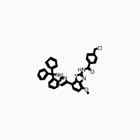 COc1ccc(-c2csc(NC(c3ccccc3)(c3ccccc3)c3ccccc3)n2)c2sc(NC(=O)c3ccc(CCl)cc3)nc12